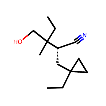 CCC1(C[C@@H](C#N)C(C)(CC)CO)CC1